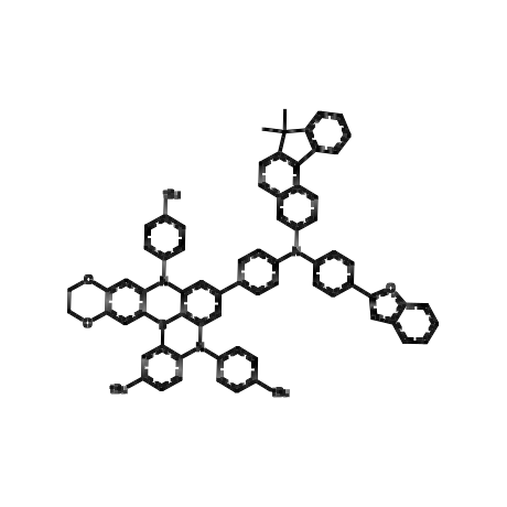 CC(C)(C)c1ccc(N2c3ccc(C(C)(C)C)cc3B3c4cc5c(cc4N(c4ccc(C(C)(C)C)cc4)c4cc(-c6ccc(N(c7ccc(-c8cc9ccccc9o8)cc7)c7ccc8c9c(ccc8c7)C(C)(C)c7ccccc7-9)cc6)cc2c43)OCCO5)cc1